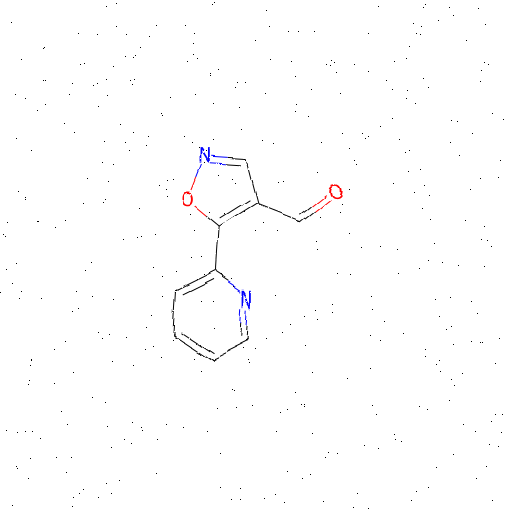 O=Cc1cnoc1-c1ccccn1